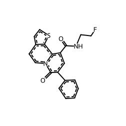 O=C(NCCF)c1cc(-c2ccccc2)c(=O)n2ccc3ccsc3c12